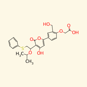 CC(C)OC(CSc1ccccc1)c1c(O)cc(-c2ccc(OCC(=O)O)c(CO)c2)oc1=O